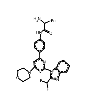 CC(C)(C)C(N)C(=O)Nc1ccc(-c2cc(N3CCOCC3)nc(-n3c(C(F)F)nc4ccccc43)n2)cc1